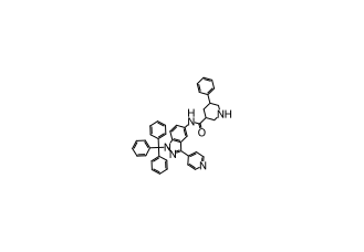 O=C(Nc1ccc2c(c1)c(-c1ccncc1)nn2C(c1ccccc1)(c1ccccc1)c1ccccc1)C1CNCC(c2ccccc2)C1